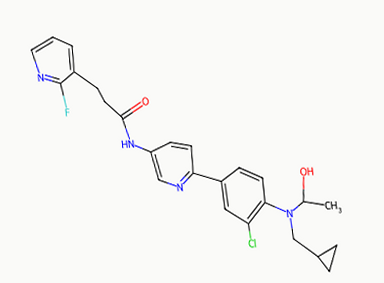 CC(O)N(CC1CC1)c1ccc(-c2ccc(NC(=O)CCc3cccnc3F)cn2)cc1Cl